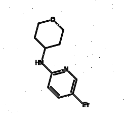 CC(C)c1ccc(NC2CCOCC2)nc1